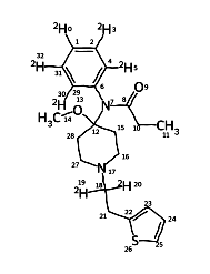 [2H]c1c([2H])c([2H])c(N(C(=O)CC)C2(OC)CCN(C([2H])([2H])Cc3cccs3)CC2)c([2H])c1[2H]